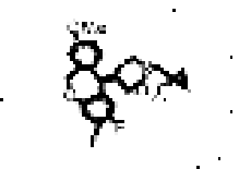 COc1ccc2c(c1)COc1cc(F)c(F)cc1C2=C1CCN(CC2(C(=O)O)CC2)CC1